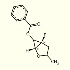 CC1C[C@@]2(F)C(OC(=O)c3ccccc3)[C@H]2O1